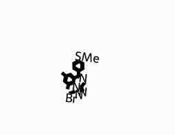 CSc1ccc(C2=NCc3nnc(CBr)n3-c3c(C)cc(C)cc32)cc1